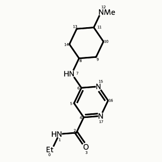 CCNC(=O)c1cc(NC2CCC(NC)CC2)ncn1